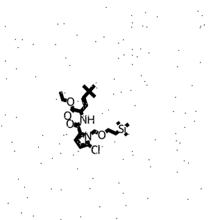 CCOC(=O)C(C=CC(C)(C)C)NC(=O)c1ccc(Cl)n1COCC[Si](C)(C)C